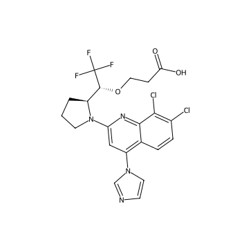 O=C(O)CCO[C@H]([C@@H]1CCCN1c1cc(-n2ccnc2)c2ccc(Cl)c(Cl)c2n1)C(F)(F)F